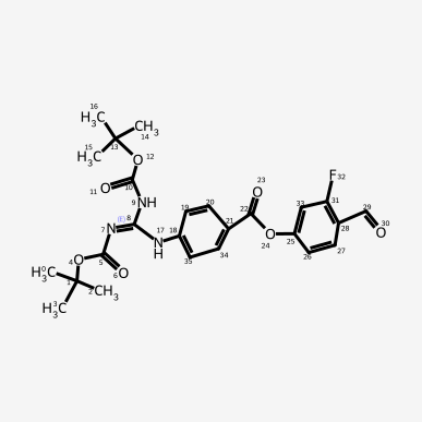 CC(C)(C)OC(=O)/N=C(/NC(=O)OC(C)(C)C)Nc1ccc(C(=O)Oc2ccc(C=O)c(F)c2)cc1